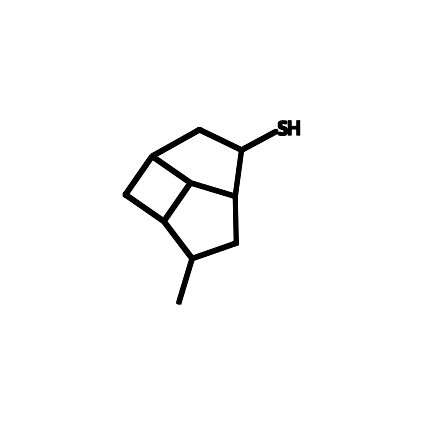 CC1CC2C(S)CC3CC1C32